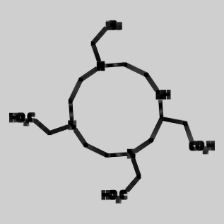 CC(C)(C)CN1CCNC(CC(=O)O)CN(CC(=O)O)CCN(CC(=O)O)CC1